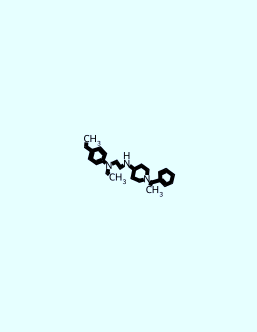 CCc1ccc(N(CC)CCNC2CCN(C(C)C3=CCCC=C3)CC2)cc1